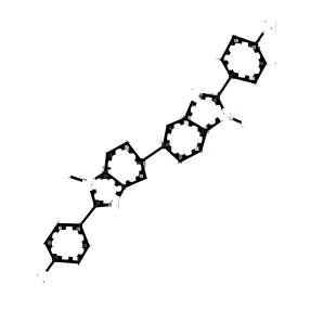 Cn1c(-c2ccc(N)cc2)nc2cc(-c3ccc4c(c3)nc(-c3ccc(N)cc3)n4C)ccc21